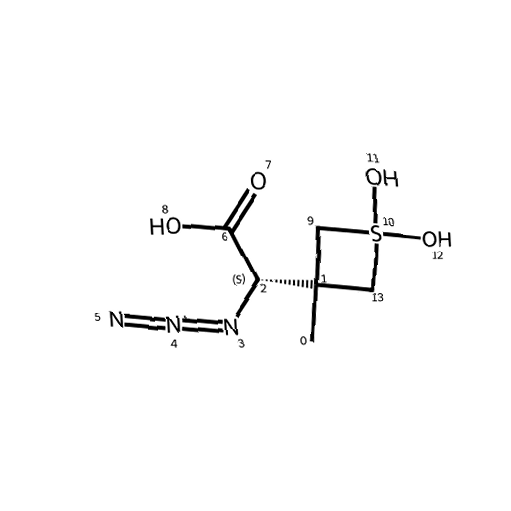 CC1([C@H](N=[N+]=[N-])C(=O)O)CS(O)(O)C1